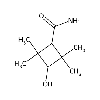 CC1(C)C(O)C(C)(C)C1C([NH])=O